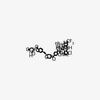 COc1cc(C(=O)N2CCO[C@@H](C#Cc3ccc4c(c3)CN(C3CCC(=O)NC3=O)C4=O)CC2)ccc1NC(=O)[C@@H]1N[C@@H](CC(C)(C)C)[C@@]2(CNc3cc(C(F)(F)F)ncc32)[C@H]1c1cccc(Cl)c1F